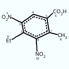 CCc1c([N+](=O)[O-])cc(C(=O)O)c(C)c1[N+](=O)[O-]